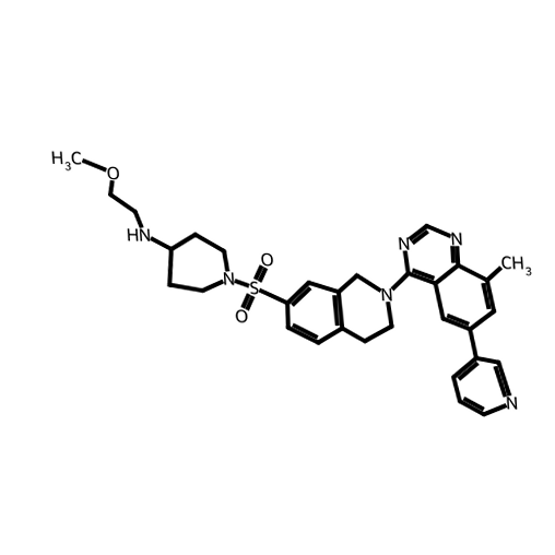 COCCNC1CCN(S(=O)(=O)c2ccc3c(c2)CN(c2ncnc4c(C)cc(-c5cccnc5)cc24)CC3)CC1